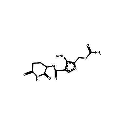 CC(=O)Nc1c(C(=O)NC2CCC(=O)NC2=O)csc1COC(N)=O